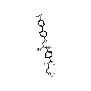 CC(C)[C@@H](COc1ccc(-c2ccc(N(C)C)cc2)cc1)Nc1ccc(C(=O)NCCC(=O)O)cc1